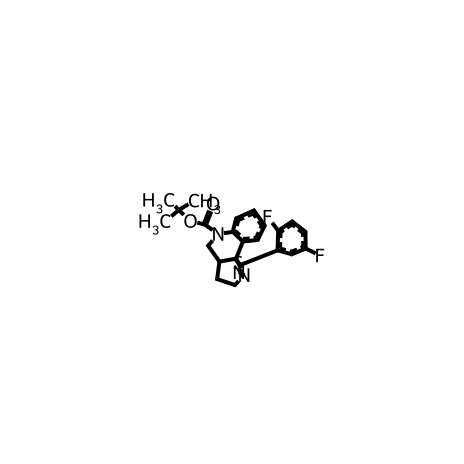 CC(C)(C)OC(=O)N1CC2CCN3N=C(c4cc(F)ccc4F)SC23c2ccccc21